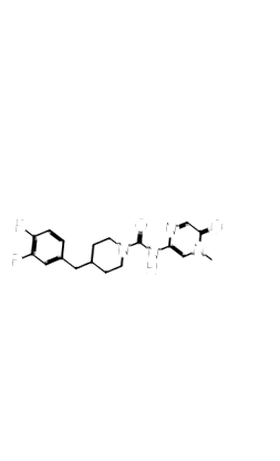 Cn1cc(NC(=O)N2CCC(Cc3ccc(F)c(F)c3)CC2)ncc1=O